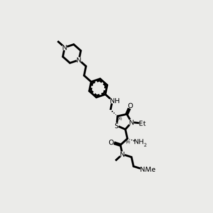 CCN1C(=O)[C@@H](CNc2ccc(CCN3CCN(C)CC3)cc2)SC1[C@H](N)C(=O)N(C)CCNC